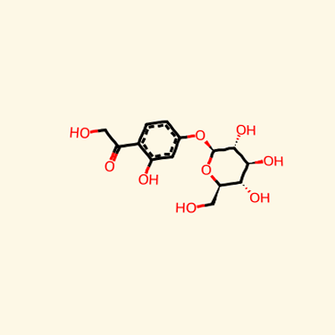 O=C(CO)c1ccc(O[C@@H]2O[C@H](CO)[C@@H](O)[C@H](O)[C@H]2O)cc1O